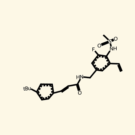 C=Cc1cc(CNC(=O)/C=C/c2ccc(C(C)(C)C)cc2)cc(F)c1NS(C)(=O)=O